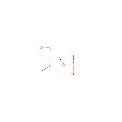 COC1(COS(C)(=O)=O)COC1